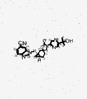 CC(C)(O)c1cnc(N2C[C@]3(CC[C@H]4C[C@@]4(Cn4cnc5ccc(C#N)cc54)C3)OC2=O)cn1